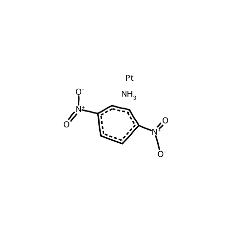 N.O=[N+]([O-])c1ccc([N+](=O)[O-])cc1.[Pt]